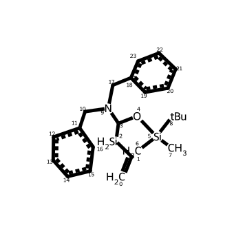 C=C[SiH2]C(O[Si](C)(C)C(C)(C)C)N(Cc1ccccc1)Cc1ccccc1